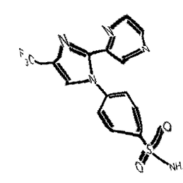 NS(=O)(=O)c1ccc(-n2cc(C(F)(F)F)nc2-c2cnccn2)cc1